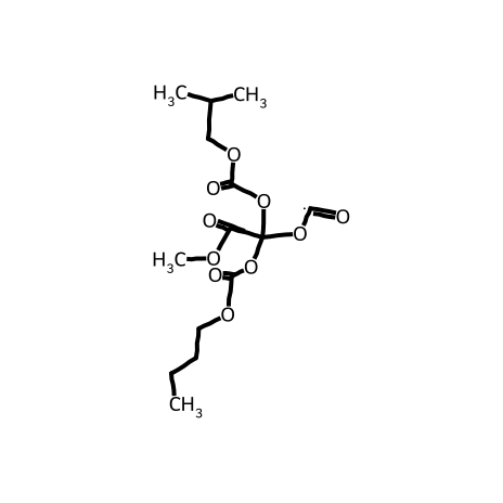 CCCCOC(=O)OC(O[C]=O)(OC(=O)OCC(C)C)C(=O)OC